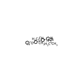 CC(C)c1nnc2ccc(-c3ccc(C(C)(c4ccc(OCc5ccccn5)cc4)C(C)C)cc3)nn12